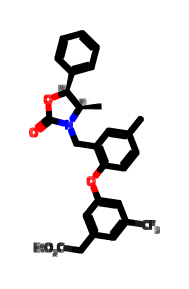 CCOC(=O)Cc1cc(Oc2ccc(C)cc2CN2C(=O)O[C@@H](c3ccccc3)[C@H]2C)cc(C(F)(F)F)c1